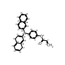 C=CC(=O)Oc1ccc(N(C2=CCC3=CC=CCC3=C2)c2ccc3ccccc3c2)cc1